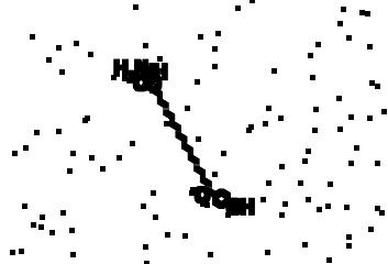 NNC(=O)OCCCCCCCCCCCCCCCCCCC(=O)c1ccc(O)cc1